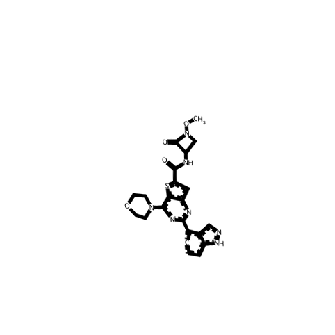 CON1CC(NC(=O)c2cc3nc(-c4cccc5[nH]ncc45)nc(N4CCOCC4)c3s2)C1=O